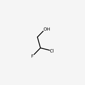 OCC(F)Cl